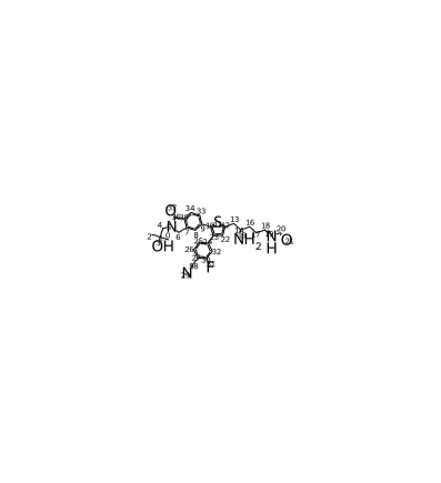 CC(C)(O)CN1Cc2cc(-c3sc(CC(N)CCCNC=O)cc3-c3ccc(C#N)c(F)c3)ccc2C1=O